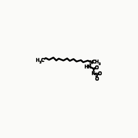 CCCCCCCCCCCCCCN(C)NC(=O)N=S(=O)=O